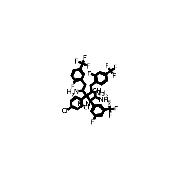 CC(N)C(N)(c1cc(F)cc(C(F)(F)F)c1)C(c1ccc(Cl)cc1Cl)(C(N)Cc1ccc(C(F)(F)F)cc1F)C(N)Cc1cc(C(F)(F)F)ccc1F